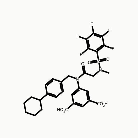 CN(CC(=O)N(Cc1ccc(C2CCCCC2)cc1)c1cc(C(=O)O)cc(C(=O)O)c1)S(=O)(=O)c1c(F)c(F)c(F)c(F)c1F